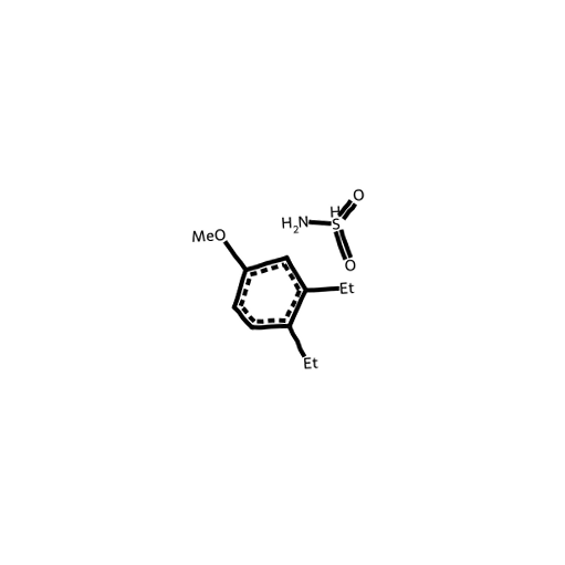 CCc1ccc(OC)cc1CC.N[SH](=O)=O